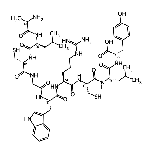 CC(C)C[C@H](NC(=O)[C@H](C)N)C(=O)N[C@@H](CS)C(=O)NCC(=O)N[C@@H](Cc1c[nH]c2ccccc12)C(=O)N[C@@H](CCCNC(=N)N)C(=O)N[C@@H](CS)C(=O)N[C@@H](CC(C)C)C(=O)N[C@@H](Cc1ccc(O)cc1)C(=O)O